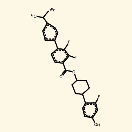 CCCC(O)c1ccc(-c2ccc(C(=O)OC3CCC(c4ccc(O)cc4F)CC3)c(F)c2F)cc1